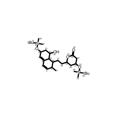 CC1C=CC2=CC(O[Si](C)(C)C(C)(C)C)CC(O)C2C1CCC1CC(O[Si](C)(C)C(C)(C)C)CC(=O)O1